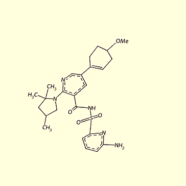 COC1CC=C(c2cnc(N3CC(C)CC3(C)C)c(C(=O)NS(=O)(=O)c3cccc(N)n3)c2)CC1